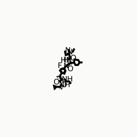 CCC(=O)N[C@@H](C(=O)N[C@@H](C)C1CC1)[C@@H](C)c1ccc(NC(=O)[C@@H](NC(=O)c2ccnn2CC)C2CCC(C)CC2)c(F)c1